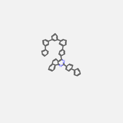 c1ccc(-c2ccc(-c3nc(-c4ccc(-c5cccc(-c6cccc(-c7cccc(-c8ccccc8)c7)c6)c5)cc4)c4ccc5ccccc5c4n3)cc2)cc1